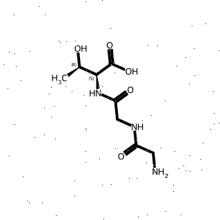 C[C@@H](O)[C@H](NC(=O)CNC(=O)CN)C(=O)O